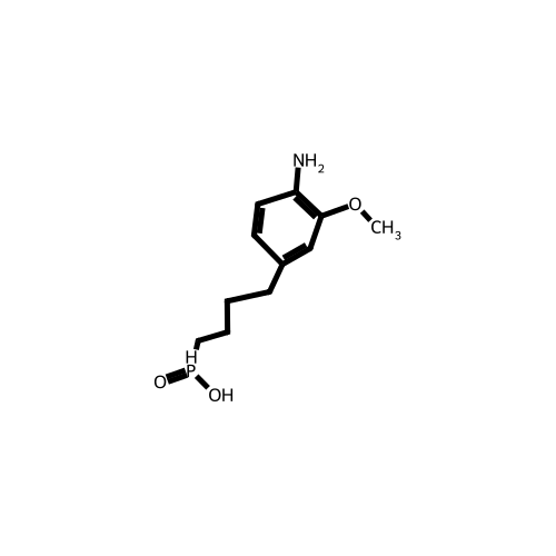 COc1cc(CCCC[PH](=O)O)ccc1N